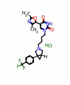 Cc1nc(C)c(-c2cn(CCCCN3C[C@@H]4C[C@]4(c4ccc(C(F)(F)F)cc4)C3)c(=O)[nH]c2=O)o1.Cl